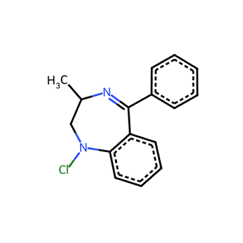 CC1CN(Cl)c2ccccc2C(c2ccccc2)=N1